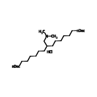 CCCCCCCCCCCCCCCCC(CCCCCCCCCCCCCCCC)CN(C)C.Cl